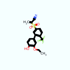 C=C(C#N)S(=O)(=O)c1ccc(C(F)(F)F)c(-c2ccc(O)c(OCC)c2)c1